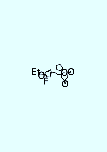 CCOc1ccc(CCC2(C3CCCC3)CC(=O)CC(=O)O2)cc1F